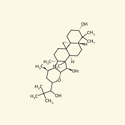 C[C@@H]1CC(C(O)C(C)(C)C)OC2C1[C@@]1(C)CCC34C[C@@]35CC[C@H](O)C(C)(C)[C@@H]5CC[C@H]4C1(C)[C@H]2O